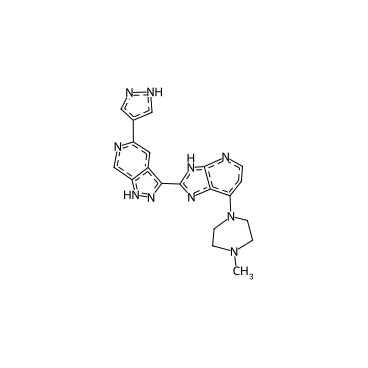 CN1CCN(c2ccnc3[nH]c(-c4n[nH]c5cnc(-c6cn[nH]c6)cc45)nc23)CC1